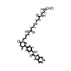 CC1CC(=O)N(CCCCNC(=O)CCSSCCC(=O)NCCNC=O)N=C1c1ccc(NC(=O)N2Cc3ccncc3C2)cc1